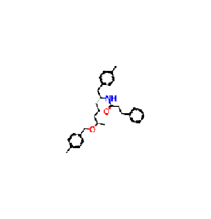 Cc1ccc(COC(C)CCC[C@H](Cc2ccc(C)cc2)NC(=O)CCc2ccccc2)cc1